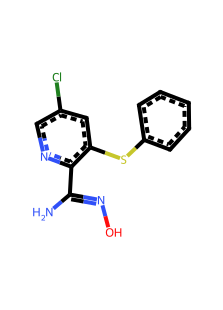 NC(=NO)c1ncc(Cl)cc1Sc1ccccc1